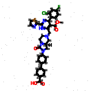 COC(=O)C1=C(CN2CCN3C(=O)N(c4ccc(-c5ccc(C(=O)O)cc5)cc4)C[C@@H]3C2)NC(c2nccs2)=NC1c1ccc(F)cc1Cl